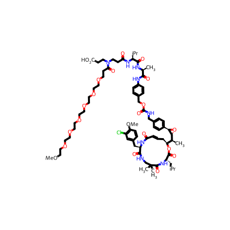 COCCOCCOCCOCCOCCOCCOCCC(=O)N(CCC(=O)O)CCC(=O)N[C@H](C(=O)N[C@@H](C)C(=O)Nc1ccc(COC(=O)NCc2ccc([C@H]3O[C@@H]3[C@@H](C)[C@@H]3C/C=C/C(=O)N[C@H](Cc4ccc(OC)c(Cl)c4)C(=O)NCC(C)(C)C(=O)N[C@@H](CC(C)C)C(=O)O3)cc2)cc1)C(C)C